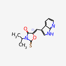 CC(C)N1C(=O)/C(=C/c2c[nH]c3ncccc23)OC1=S